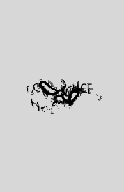 CN(C(=O)c1ccc(C(F)(F)F)cc1)C1CCN(C(=O)O)CC1c1ccc(C(F)(F)F)cc1